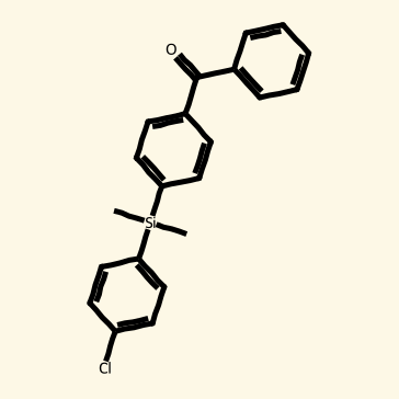 C[Si](C)(c1ccc(Cl)cc1)c1ccc(C(=O)c2ccccc2)cc1